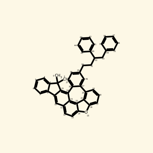 CC1(C)c2ccccc2-c2cc3ccc4oc5cccc6c5c4c3c(c21)-c1ccc(CCC(Cc2ccccc2)c2ccccc2)cc1-6